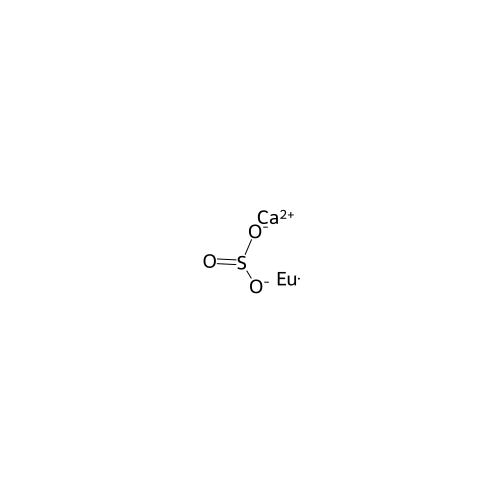 O=S([O-])[O-].[Ca+2].[Eu]